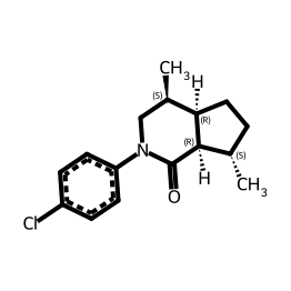 C[C@@H]1CN(c2ccc(Cl)cc2)C(=O)[C@H]2[C@@H]1CC[C@@H]2C